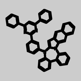 c1ccc(-c2cc(-c3ccccc3)nc(-c3cccc(N4c5ccccc5-c5ccccc5-n5c4cc4cc6ccccc6cc45)c3)n2)cc1